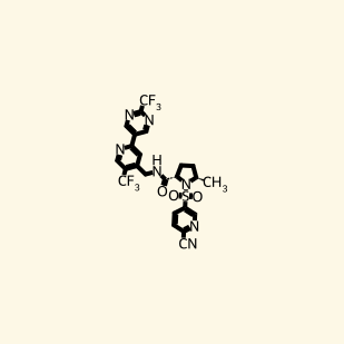 C[C@H]1CC[C@@H](C(=O)NCc2cc(-c3cnc(C(F)(F)F)nc3)ncc2C(F)(F)F)N1S(=O)(=O)c1ccc(C#N)nc1